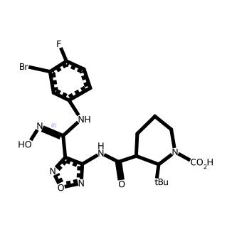 CC(C)(C)C1C(C(=O)Nc2nonc2/C(=N\O)Nc2ccc(F)c(Br)c2)CCCN1C(=O)O